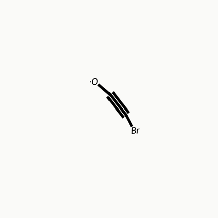 [O]C#CBr